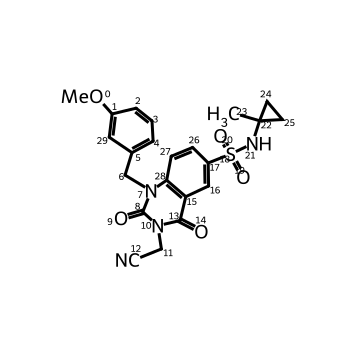 COc1cccc(Cn2c(=O)n(CC#N)c(=O)c3cc(S(=O)(=O)NC4(C)CC4)ccc32)c1